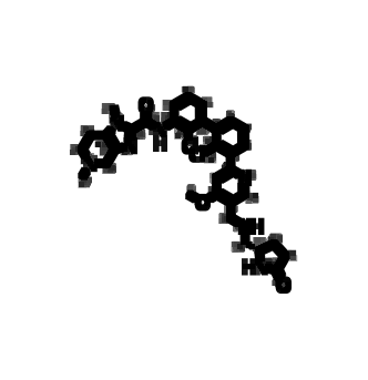 COc1cc(-c2cccc(-c3cccc(NC(=O)c4nc5c(n4C)CCN(C)C5)c3Cl)c2Cl)ncc1CNC[C@@H]1CCC(=O)N1